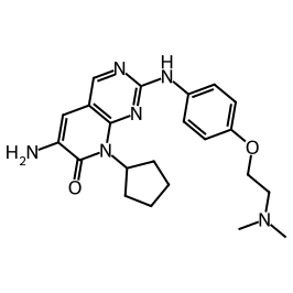 CN(C)CCOc1ccc(Nc2ncc3cc(N)c(=O)n(C4CCCC4)c3n2)cc1